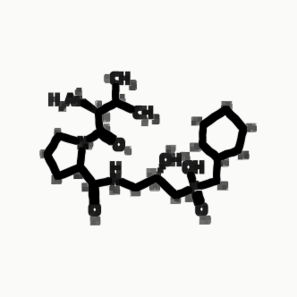 CC(C)[C@H]([AsH2])C(=O)N1CCCC1C(=O)NC[C@H](O)CP(=O)(O)CC1CCCCC1